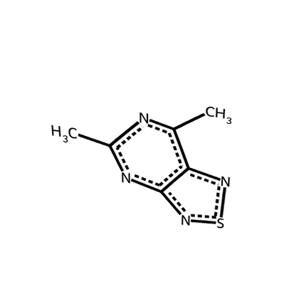 Cc1nc(C)c2nsnc2n1